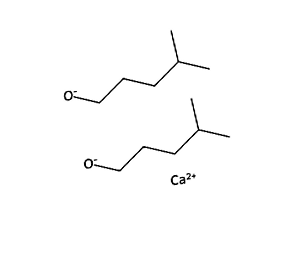 CC(C)CCC[O-].CC(C)CCC[O-].[Ca+2]